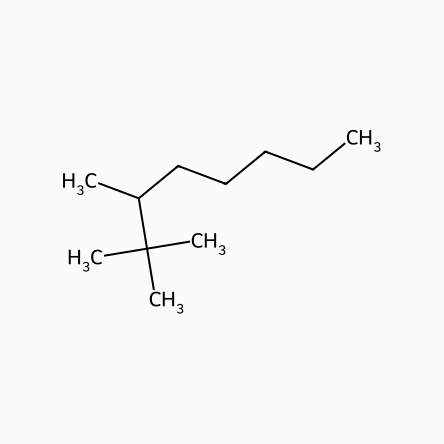 CCCCCC(C)C(C)(C)C